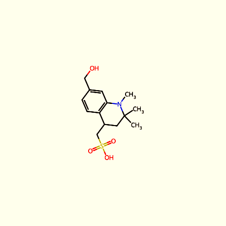 CN1c2cc(CO)ccc2C(CS(=O)(=O)O)CC1(C)C